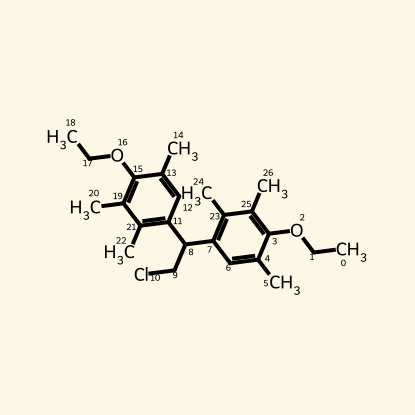 CCOc1c(C)cc(C(CCl)c2cc(C)c(OCC)c(C)c2C)c(C)c1C